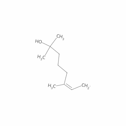 [CH2]/C=C(/C)CCCC(C)(C)O